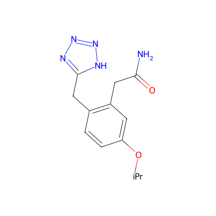 CC(C)Oc1ccc(Cc2nnn[nH]2)c(CC(N)=O)c1